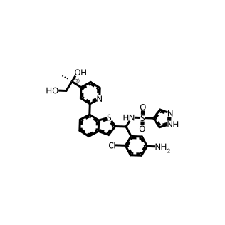 C[C@@](O)(CO)c1ccnc(-c2cccc3cc(C(NS(=O)(=O)c4cn[nH]c4)c4cc(N)ccc4Cl)sc23)c1